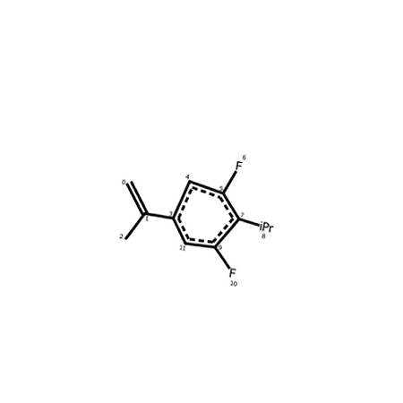 C=C(C)c1cc(F)c(C(C)C)c(F)c1